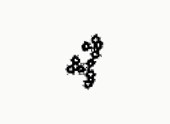 c1ccc(-c2ccccc2-c2ccc(N(c3ccc(-c4ccc5c6ccc7ccccc7c6n(-c6ccccc6)c5c4)cc3)c3ccc4sc5ccccc5c4c3)cc2)cc1